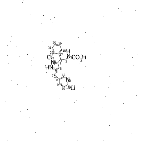 O=C(O)NCC(c1cc(Sc2ccc(Cl)nc2)[nH]n1)c1ccccc1Cl